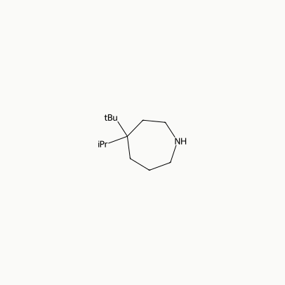 CC(C)C1(C(C)(C)C)CCCNCC1